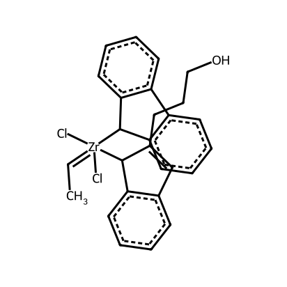 C[CH]=[Zr]([Cl])([Cl])([CH]1C(CCCO)=Cc2ccccc21)[CH]1c2ccccc2-c2ccccc21